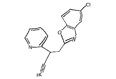 C#CC(Cc1nc2cc(Cl)ccc2o1)c1ccccn1